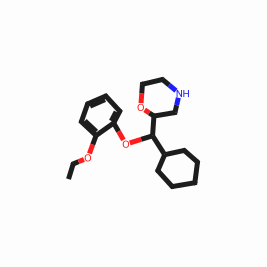 CCOc1ccccc1OC(C1CCCCC1)C1CNCCO1